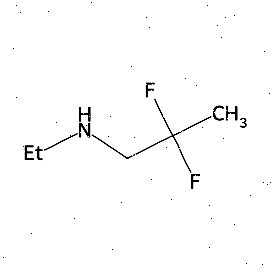 CCNCC(C)(F)F